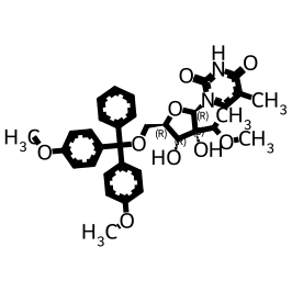 COc1ccc(C(OC[C@H]2O[C@@H](n3cc(C)c(=O)[nH]c3=O)[C@@](O)(C(C)OC)[C@@H]2O)(c2ccccc2)c2ccc(OC)cc2)cc1